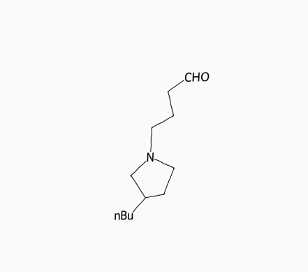 CCCCC1CCN(CCCC=O)C1